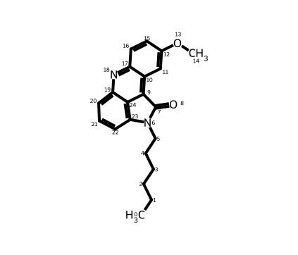 CCCCCCN1C(=O)c2c3cc(OC)ccc3nc3cccc1c23